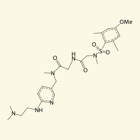 COc1cc(C)c(S(=O)(=O)N(C)CC(=O)NCC(=O)N(C)Cc2ccc(NCCN(C)C)nc2)c(C)c1